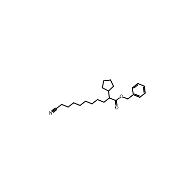 N#CCCCCCCCCC(C(=O)OCc1ccccc1)C1CCCC1